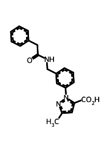 Cc1cc(C(=O)O)n(-c2cccc(CNC(=O)Cc3ccccc3)c2)n1